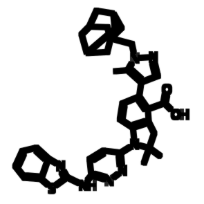 Cc1c(-c2ccc3c(c2C(=O)O)CC(C)(C)N3c2ccc(Nc3nc4ccccc4s3)nn2)cnn1CC12CC3CC(CC(C3)C1)C2